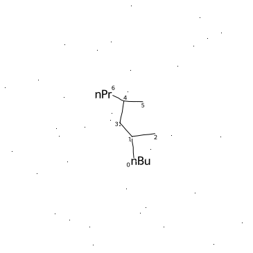 CCCCC(C)[CH]C(C)CCC